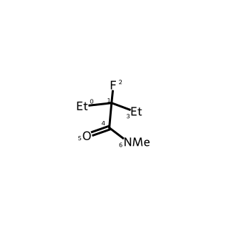 CCC(F)(CC)C(=O)NC